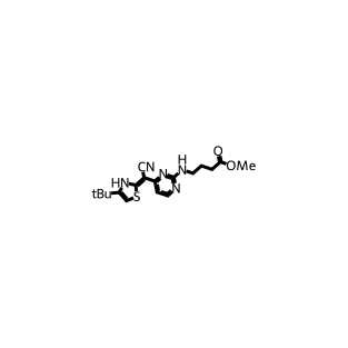 COC(=O)CCCNc1nccc(/C(C#N)=C2/NC(C(C)(C)C)=CS2)n1